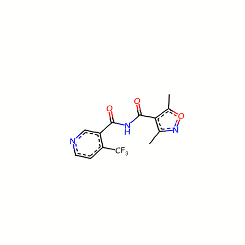 Cc1noc(C)c1C(=O)NC(=O)c1cnccc1C(F)(F)F